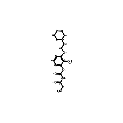 NCC(=O)NC(=O)Oc1nccc(OCCC2CCCCC2)c1O